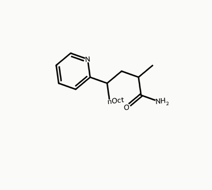 CCCCCCCCC(CC(C)C(N)=O)c1ccccn1